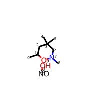 CC1CC(C)(C)CN(C)O1.O=NO